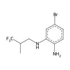 CC(CNc1cc(Br)ccc1N)C(F)(F)F